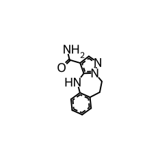 NC(=O)c1cnn2c1Nc1ccccc1CC2